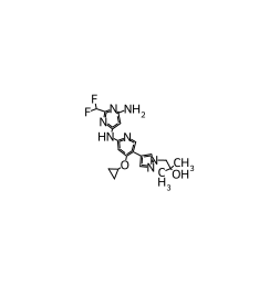 CC(C)(O)Cn1cc(-c2cnc(Nc3cc(N)nc(C(F)F)n3)cc2OC2CC2)cn1